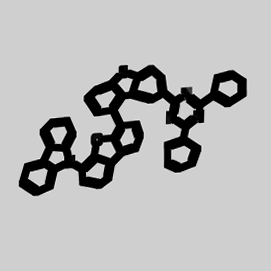 c1ccc(-c2nc(-c3ccccc3)nc(-c3ccc4sc5cccc(-c6cccc7c6oc6c(-n8c9ccccc9c9ccccc98)cccc67)c5c4c3)n2)cc1